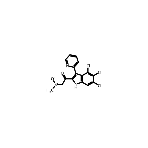 C[S+]([O-])CC(=O)c1[nH]c2cc(Cl)c(Cl)c(Cl)c2c1-c1ccccn1